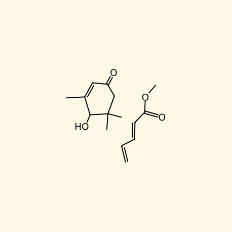 C=CC=CC(=O)OC.CC1=CC(=O)CC(C)(C)C1O